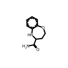 NC(=O)C1CCOc2cc[c]cc2N1